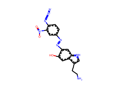 [N-]=[N+]=Nc1ccc(N=Nc2cc3[nH]cc(CCN)c3cc2O)cc1[N+](=O)[O-]